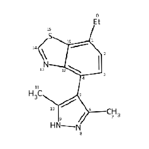 CCc1ccc(-c2c(C)n[nH]c2C)c2ncsc12